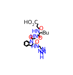 CCC(C)C(NC(=O)CCC(=O)O)C(=O)NCC(=O)N1c2ccccc2C[C@H]1C(=O)NCc1nn[nH]n1